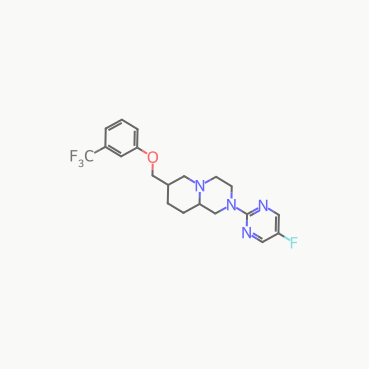 Fc1cnc(N2CCN3CC(COc4cccc(C(F)(F)F)c4)CCC3C2)nc1